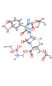 CCOC(=O)N(C)COC(=O)C1=C(COC(C)=O)CSC2C(NC(=O)C(NC(=O)OC(C)(C)C)c3ccc4c(c3)CCO4)C(=O)N12